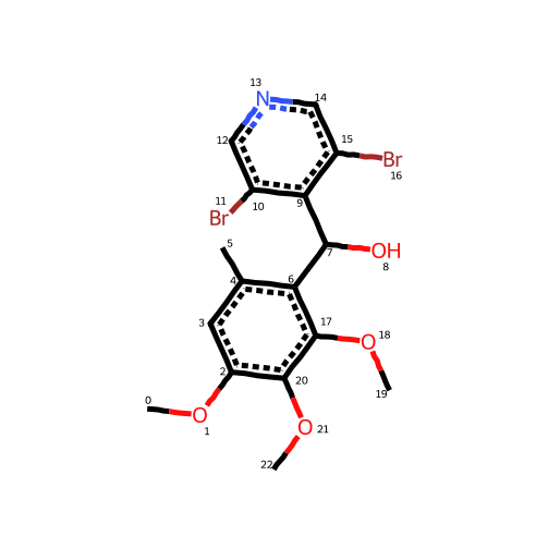 COc1cc(C)c(C(O)c2c(Br)cncc2Br)c(OC)c1OC